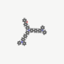 c1ccc(-n2c3ccccc3c3cc(-c4ccc(-c5ccc(N(c6ccc(-c7ccc(-c8ccc9c(c8)c8ccccc8n9-c8ccccc8)cc7)cc6)c6ccc(-c7ccc8c(c7)oc7ccccc78)cc6)cc5)cc4)ccc32)cc1